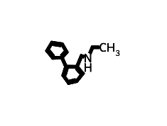 CCNCc1ccccc1-c1ccccc1